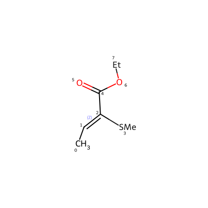 C/C=C(\SC)C(=O)OCC